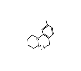 Cc1ccc(CN)c(N2CCCCC2)c1